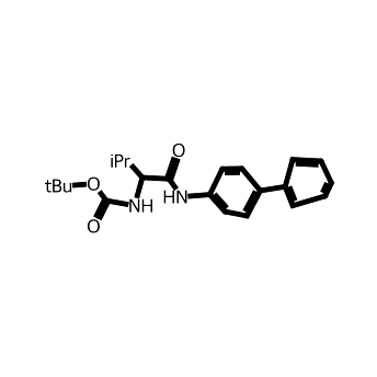 CC(C)C(NC(=O)OC(C)(C)C)C(=O)Nc1ccc(-c2ccccc2)cc1